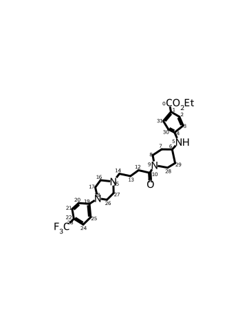 CCOC(=O)c1ccc(NC2CCN(C(=O)CCCN3CCN(c4ccc(C(F)(F)F)cc4)CC3)CC2)cc1